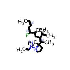 C=CNN1CCCC1(C)/C(C)=C(\CC(=C)/C(F)=C\C=C/C)C(=C)C